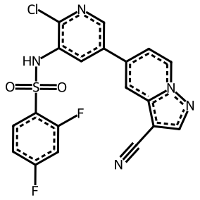 N#Cc1cnn2ccc(-c3cnc(Cl)c(NS(=O)(=O)c4ccc(F)cc4F)c3)cc12